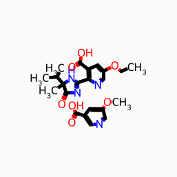 CCOc1cnc(C2=NC(=O)C(C)(C(C)C)N2)c(C(=O)O)c1.COc1cncc(C(=O)O)c1